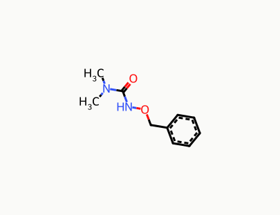 CN(C)C(=O)NOCc1ccccc1